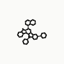 c1ccc(-c2ccc3c(c2)c2cc(-c4cccc5ccccc45)c4sc5ccccc5c4c2n3-c2ccccc2)cc1